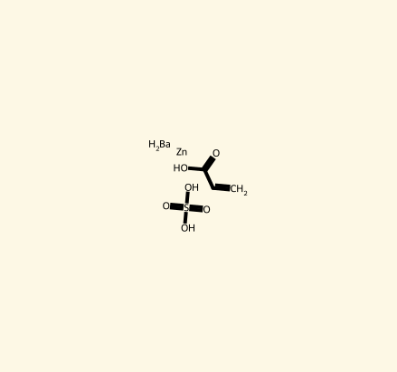 C=CC(=O)O.O=S(=O)(O)O.[BaH2].[Zn]